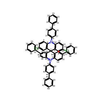 Clc1ccc2c(c1)C1(c3cc(Cl)ccc3N2c2ccc(-c3ccccc3)cc2)c2cc(-c3ccccc3)ccc2N(c2ccc(-c3ccccc3)cc2)c2ccc(-c3ccccc3)cc21